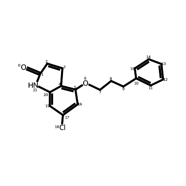 O=c1ccc2c(OCCCc3ccccc3)cc(Cl)cc2[nH]1